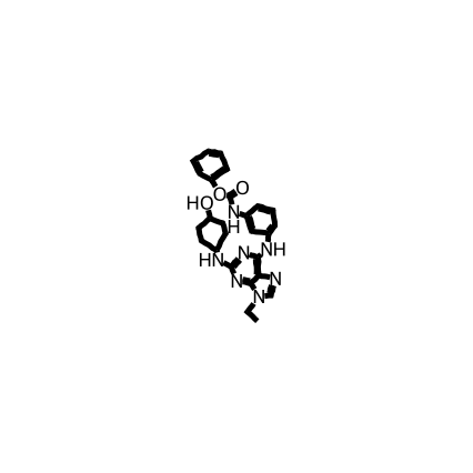 CCn1cnc2c(Nc3cccc(NC(=O)Oc4ccccc4)c3)nc(NC3CCC(O)CC3)nc21